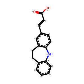 O=C(O)/C=C/c1ccc2c(c1)CCc1ccccc1N2